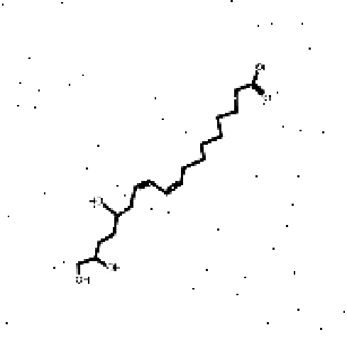 O=C(O)CCCCCCC/C=C\C=C/CC(O)CCC(O)CO